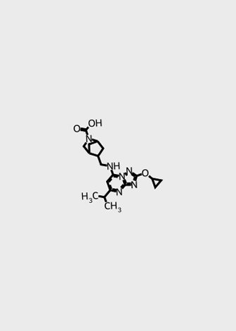 CC(C)c1cc(NCC2CC3CC2CN3C(=O)O)n2nc(OC3CC3)nc2n1